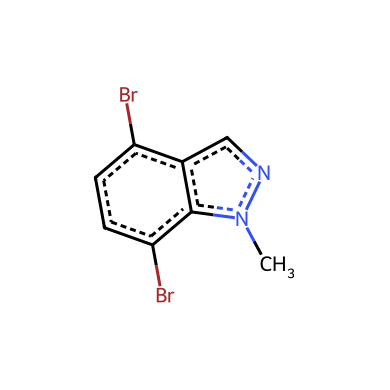 Cn1ncc2c(Br)ccc(Br)c21